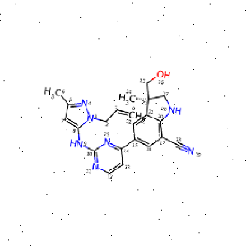 C=CCn1nc(C)cc1Nc1nccc(-c2cc(C#N)c3c(c2)[C@@](C)(CO)CN3)n1